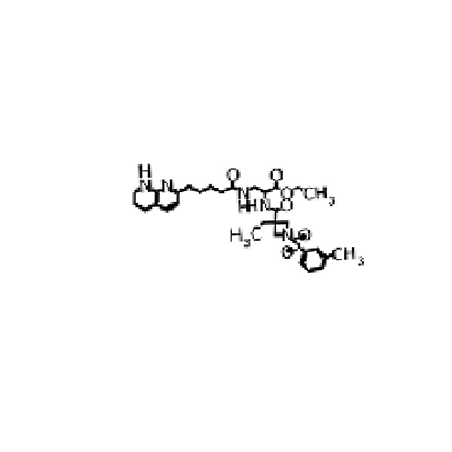 CCOC(=O)C(CNC(=O)CCCCc1ccc2c(n1)NCCC2)NC(=O)C1(CC)CN(S(=O)(=O)c2cccc(C)c2)C1